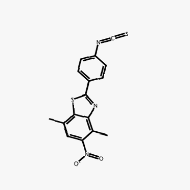 Cc1c([N+](=O)[O-])cc(C)c2sc(-c3ccc(N=C=S)cc3)nc12